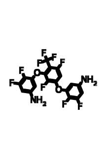 Nc1cc(F)c(F)c(Oc2cc(F)c(C(F)(F)F)c(Oc3cc(N)cc(F)c3F)c2F)c1